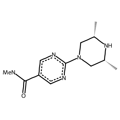 CNC(=O)c1cnc(N2C[C@@H](C)N[C@@H](C)C2)nc1